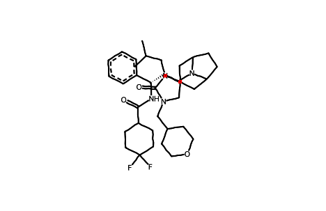 CC(C)CN1C(=O)N(CC2CCOCC2)CC12CC1CCC(C2)N1CC[C@H](NC(=O)C1CCC(F)(F)CC1)c1ccccc1